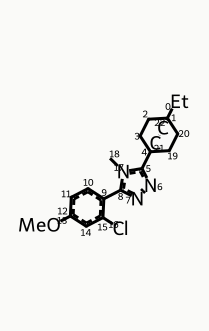 CCC12CCC(c3nnc(-c4ccc(OC)cc4Cl)n3C)(CC1)CC2